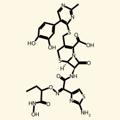 CCC(O/N=C(\C(=O)N[C@@H]1C(=O)N2C(C(=O)O)=C(CSc3nc(C)ncc3-c3ccc(O)c(O)c3)CS[C@H]12)c1csc(N)n1)C(=O)NO